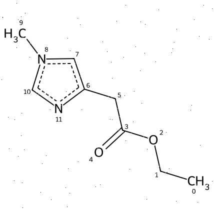 CCOC(=O)Cc1cn(C)cn1